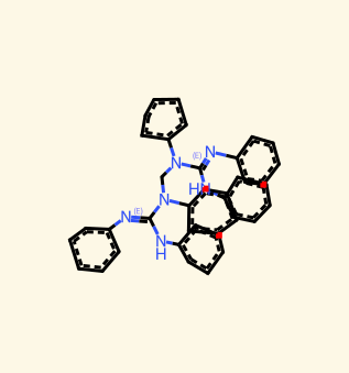 c1ccc(/N=C(\Nc2ccccc2)N(CN(/C(=N/c2ccccc2)Nc2ccccc2)c2ccccc2)c2ccccc2)cc1